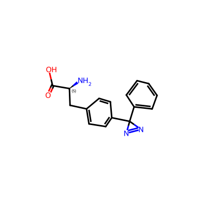 N[C@@H](Cc1ccc(C2(c3ccccc3)N=N2)cc1)C(=O)O